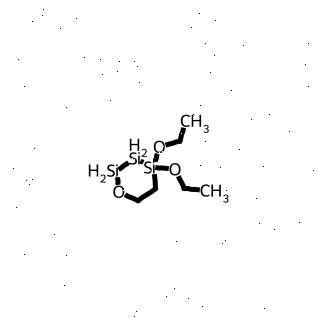 CCO[Si]1(OCC)CCO[SiH2][SiH2]1